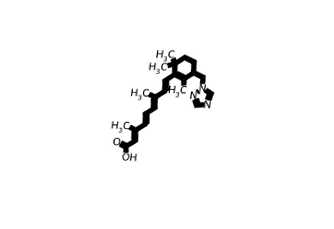 CC1=C(/C=C/C(C)=C/C=C/C(C)=C/C(=O)O)C(C)(C)CCC1Cn1cncn1